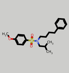 COc1ccc(S(=O)(=O)N(CCCCc2ccccc2)CC(C)C)cc1